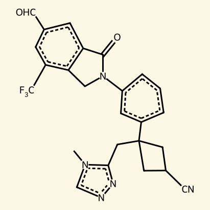 Cn1cnnc1CC1(c2cccc(N3Cc4c(cc(C=O)cc4C(F)(F)F)C3=O)c2)CC(C#N)C1